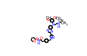 COc1cc(OC)cc(N(CCNC(C)C)c2ccc3ncc(-c4cnn(Cc5ccc(CC(=O)NOC6CCCCO6)cc5)c4)nc3c2)c1